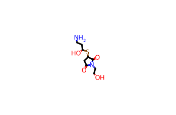 NCCC(O)SC1CC(=O)N(CCO)C1=O